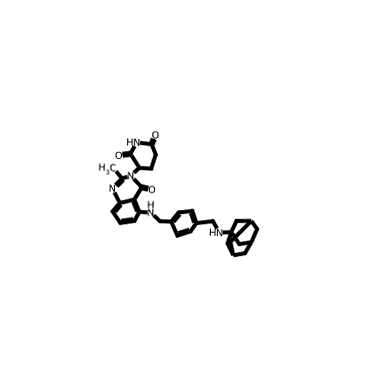 Cc1nc2cccc(NCc3ccc(CNC45CC6CC(CC(C6)C4)C5)cc3)c2c(=O)n1C1CCC(=O)NC1=O